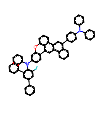 Fc1cc(-c2ccccc2)cc(-c2ccccc2)c1N(c1ccccc1)c1ccc2c(c1)Oc1cccc3c1c-2cc1c2ccccc2c(-c2ccc(N(c4ccccc4)c4ccccc4)cc2)cc31